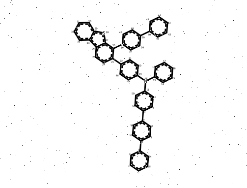 c1ccc(-c2ccc(-c3ccc(N(c4ccccc4)c4ccc(-c5ccc6c(sc7ccccc76)c5-c5ccc(-c6ccccc6)cc5)cc4)cc3)cc2)cc1